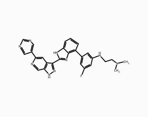 CN(C)CCNc1cc(F)cc(-c2cccc3[nH]c(-c4n[nH]c5cnc(-c6cncnc6)cc45)nc23)c1